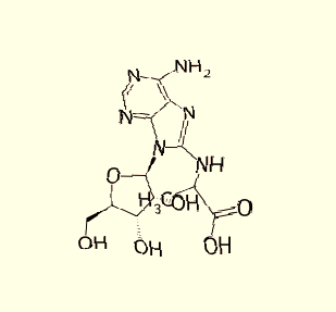 CC(Nc1nc2c(N)ncnc2n1[C@@H]1O[C@H](CO)[C@@H](O)[C@H]1O)C(=O)O